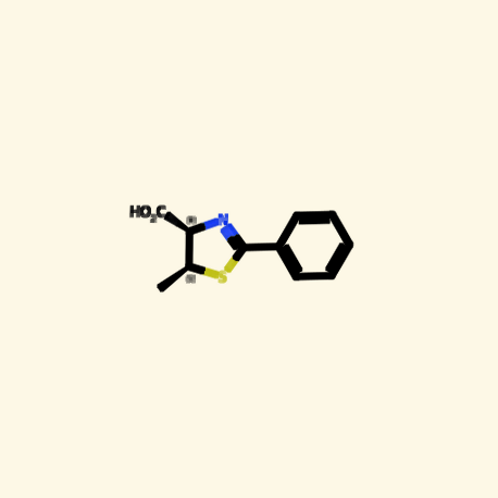 C[C@@H]1SC(c2ccccc2)=N[C@@H]1C(=O)O